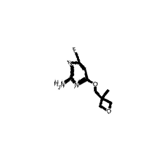 CC1(COc2cc(F)nc(N)n2)COC1